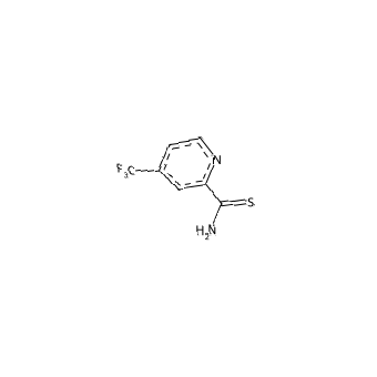 NC(=S)c1cc(C(F)(F)F)ccn1